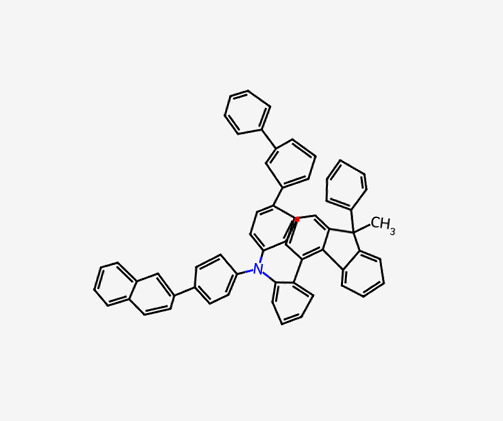 CC1(c2ccccc2)c2ccccc2-c2c(-c3ccccc3N(c3ccc(-c4cccc(-c5ccccc5)c4)cc3)c3ccc(-c4ccc5ccccc5c4)cc3)cccc21